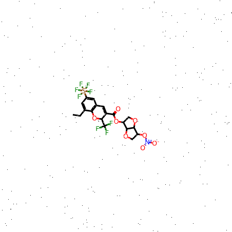 CCc1cc(S(F)(F)(F)(F)F)cc2c1OC(C(F)(F)F)C(C(=O)OC1COC3C(O[N+](=O)[O-])COC13)=C2